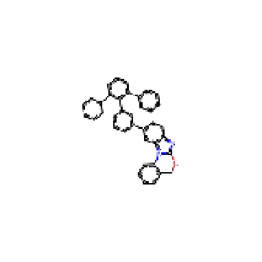 c1ccc(-c2cccc(-c3ccccc3)c2-c2cccc(-c3ccc4nc5n(c4c3)-c3ccccc3CO5)c2)cc1